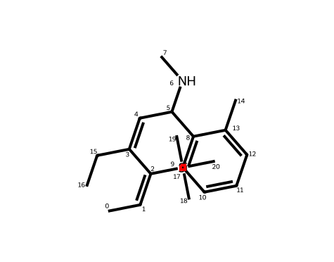 C/C=C(\C(=C/C(NC)c1ccccc1C)CC)[Si](C)(C)C